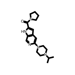 CC(C)N1CCN(c2cc3cc(C(=O)N4CCCC4)[nH]c3cn2)CC1